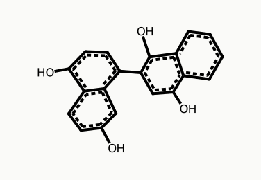 Oc1ccc2c(O)ccc(-c3cc(O)c4ccccc4c3O)c2c1